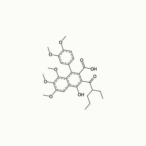 CCCC(CC)C(=O)c1c(C(=O)O)c(-c2ccc(OC)c(OC)c2)c2c(OC)c(OC)c(OC)cc2c1O